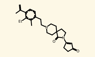 C=C(C)c1ccc(CCN2CCC3(CC2)CCN(C2=CC(=O)CC2)C3=O)c(C)c1CC